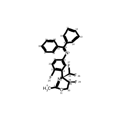 CC1=N[C@@](c2cc(N=C(c3ccccc3)c3ccccc3)ccc2F)(C(F)F)[C@@H](F)CO1